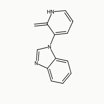 C=C1NC=CC=C1n1cnc2ccccc21